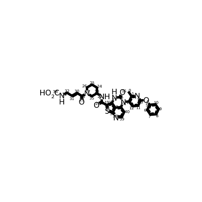 Cc1nc(Oc2ccccc2)ccc1N1C(=O)Nc2c(C(=O)NC3CCCN(C(=O)C=CCNC(=O)O)C3)sc3nccc1c23